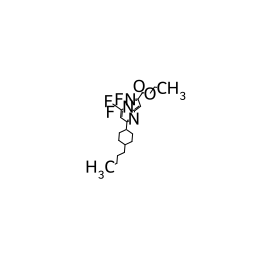 CCCCC1CCC(c2cc(C(F)(F)F)n3nc(C(=O)OCC)cc3n2)CC1